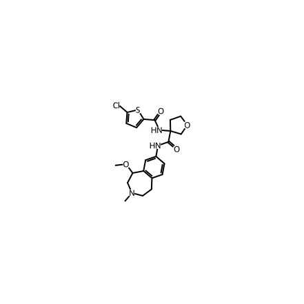 COC1CN(C)CCc2ccc(NC(=O)C3(NC(=O)c4ccc(Cl)s4)CCOC3)cc21